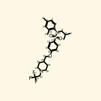 Cc1ccc(N(CC(C)C)S(=O)(=O)c2ccc(OCC3CCN(CC(F)(F)F)CC3)cc2)c(C)c1